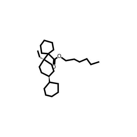 CCCCCCOC(=O)C1([C@]2(CC)CC[C@H](C3CCCCC3)CC2)CCCCC1